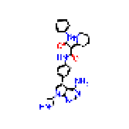 Nc1ncnc2c1c(-c1ccc(NC(=O)c3c4n(n(-c5ccccc5)c3=O)CCCC4)cc1)cn2C1CNC1